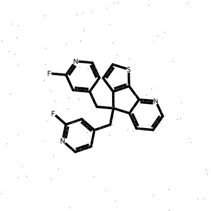 Fc1cc(CC2(Cc3ccnc(F)c3)c3cccnc3-c3sccc32)ccn1